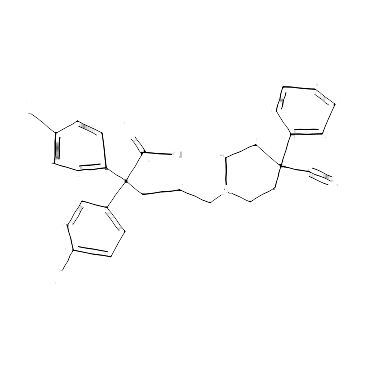 N#CC1(c2ccccc2)CCN(CCCC(C(N)=O)(c2ccc(Cl)cc2)c2ccc(Cl)cc2)CC1